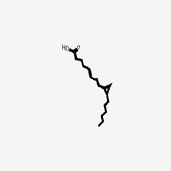 CCCCCCC1CC1CC/C=C/CCCC(=O)O